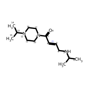 CC(C)NC/C=C/C(=O)N1CCN(C(C)C)CC1